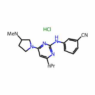 CCCc1cc(N2CCC(NC)C2)nc(Nc2cccc(C#N)c2)n1.Cl